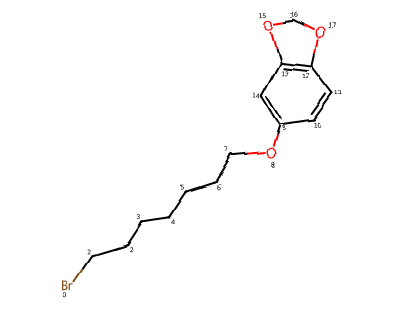 BrCCCCCCCOc1ccc2c(c1)OCO2